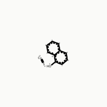 Oc1cccc2ccccc12.[S]=[Cu]